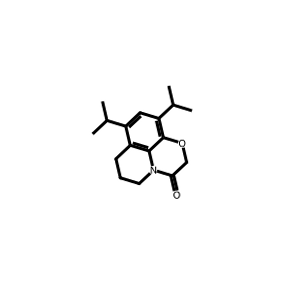 CC(C)c1cc(C(C)C)c2c3c1CCCN3C(=O)CO2